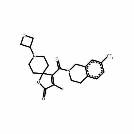 CC1=C(C(=O)N2CCc3ccc(C(F)(F)F)cc3C2)C2(CCN(C3COC3)CC2)OC1=O